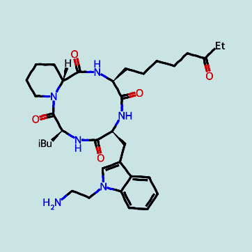 CCC(=O)CCCCC[C@@H]1NC(=O)[C@H]2CCCCN2C(=O)[C@H](C(C)CC)NC(=O)[C@H](Cc2cn(CCN)c3ccccc23)NC1=O